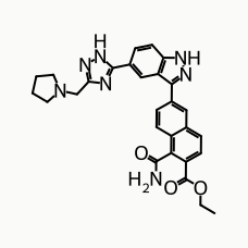 CCOC(=O)c1ccc2cc(-c3n[nH]c4ccc(-c5nc(CN6CCCC6)n[nH]5)cc34)ccc2c1C(N)=O